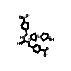 N=C(NCc1ccc([N+](=O)[O-])cc1)N(Cc1ccc([N+](=O)[O-])cc1)[C@@H]1CC[C@H](N2CC[C@@H](S)C2)C1